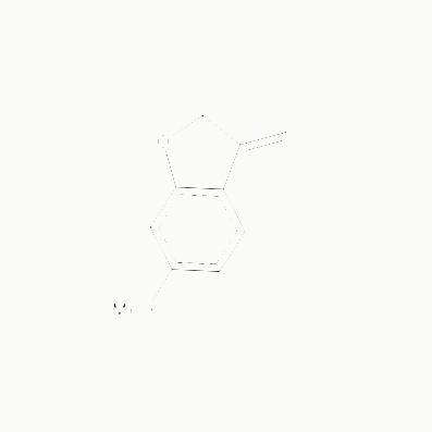 C/C=C1/COc2cc(OC)ccc21